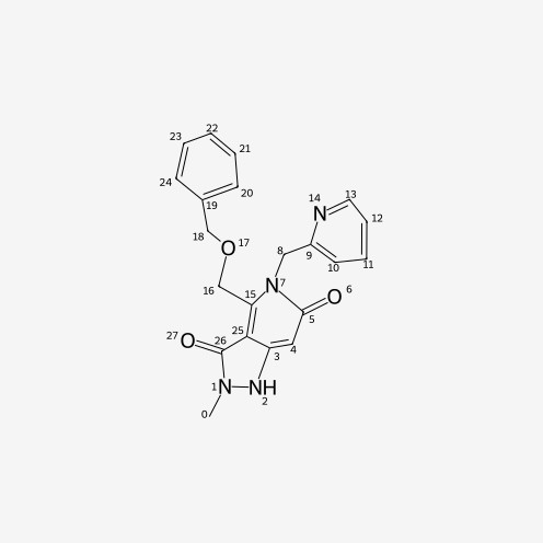 Cn1[nH]c2cc(=O)n(Cc3ccccn3)c(COCc3ccccc3)c2c1=O